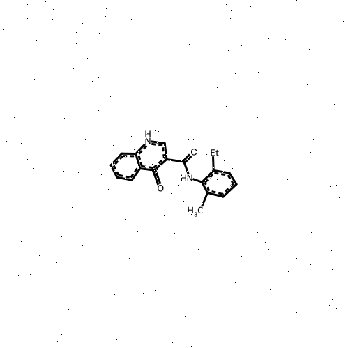 CCc1cccc(C)c1NC(=O)c1c[nH]c2ccccc2c1=O